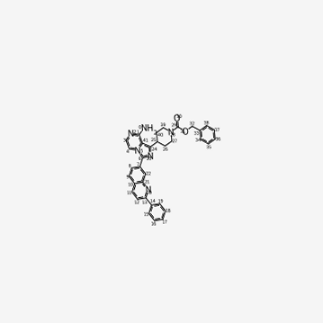 Nc1nccn2c(-c3ccc4ccc(-c5ccccc5)nc4c3)nc(C3CCN(C(=O)OCc4ccccc4)CC3)c12